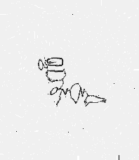 C=CCN(C(=O)Cc1ccc(S(C)(=O)=O)cc1)C1CCN(Cc2ccccc2)CC1